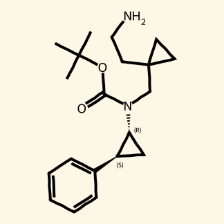 CC(C)(C)OC(=O)N(CC1(CCN)CC1)[C@@H]1C[C@H]1c1ccccc1